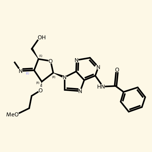 C/N=C1/[C@@H](OCCOC)[C@H](n2cnc3c(NC(=O)c4ccccc4)ncnc32)O[C@@H]1CO